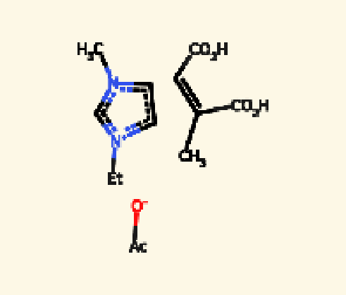 C/C(=C/C(=O)O)C(=O)O.CC(=O)[O-].CC[n+]1ccn(C)c1